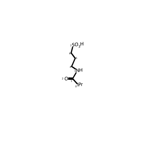 CC(C)C(=O)NCCCS(=O)(=O)O